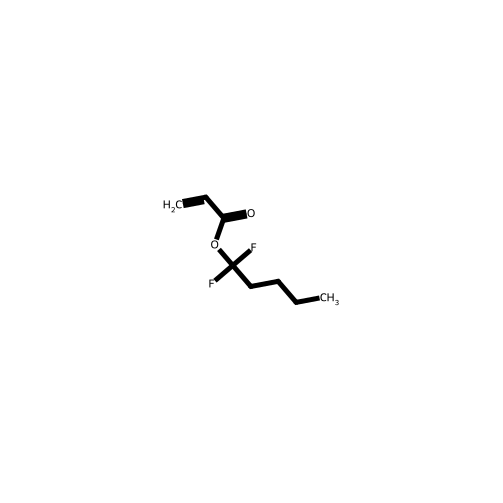 C=CC(=O)OC(F)(F)CCCC